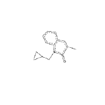 Cc1cc2ccccc2n(CC2CC2)c1=O